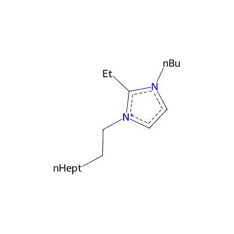 CCCCCCCCC[n+]1ccn(CCCC)c1CC